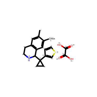 COc1cc2c(cc1C)CCNC2C1(c2ccsc2)CC1.O=C(O)C(=O)O